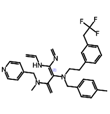 C=CN/C(N=C)=C(\C(=C)N(C)Cc1ccncc1)N(CCc1cccc(CC(F)(F)F)c1)Cc1ccc(C)cc1